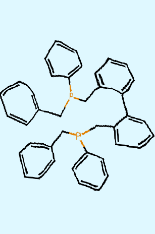 c1ccc(CP(Cc2ccccc2-c2ccccc2CP(Cc2ccccc2)c2ccccc2)c2ccccc2)cc1